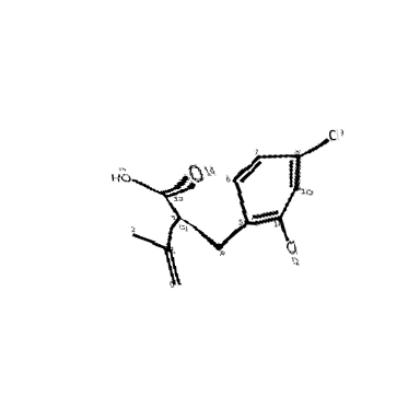 C=C(C)[C@H](Cc1ccc(Cl)cc1Cl)C(=O)O